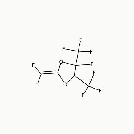 FC(F)=C1OC(C(F)(F)F)C(F)(C(F)(F)F)O1